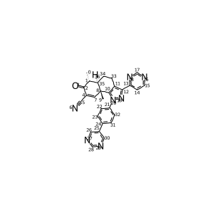 C[C@H]1C(=O)C(C#N)=C[C@@]2(C)c3c(c(-c4ccncn4)nn3-c3ccc(-c4cncnc4)cc3)CC[C@H]12